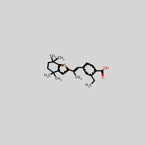 CCc1cc(C=C(C)c2cc3c(s2)C(C)(C)CCC3(C)C)ccc1C(=O)O